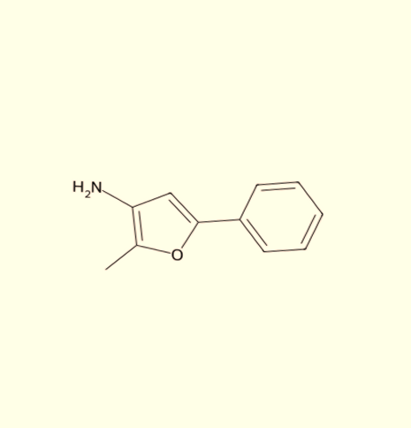 Cc1oc(-c2ccccc2)cc1N